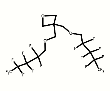 FC(F)(F)C(F)(F)C(F)(F)C(F)(F)COCC1(COCC(F)(F)C(F)(F)C(F)(F)C(F)(F)F)COC1